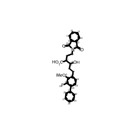 COc1c(CCC(O)C(CCN2C(=O)c3ccccc3C2=O)C(=O)O)ccc(-c2ccccc2)c1F